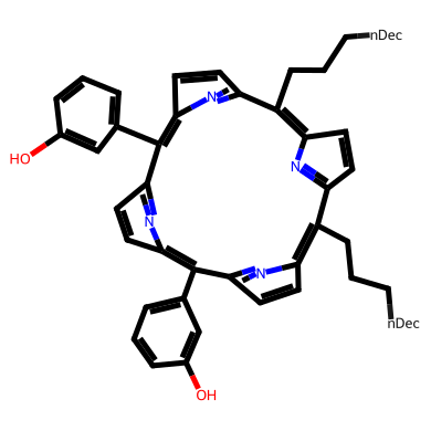 CCCCCCCCCCCCCC1=C2C=CC(=N2)C(CCCCCCCCCCCCC)=C2C=CC(=N2)C(c2cccc(O)c2)=C2C=CC(=N2)C(c2cccc(O)c2)=C2C=CC1=N2